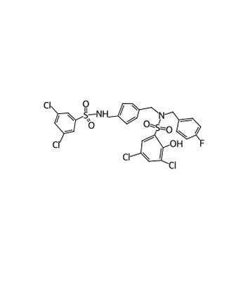 O=S(=O)(NCc1ccc(CN(Cc2ccc(F)cc2)S(=O)(=O)c2cc(Cl)cc(Cl)c2O)cc1)c1cc(Cl)cc(Cl)c1